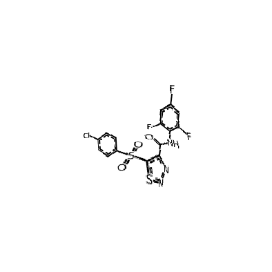 O=C(Nc1c(F)cc(F)cc1F)c1nnsc1S(=O)(=O)c1ccc(Cl)cc1